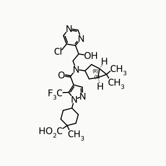 CC1(C(=O)O)CCC(n2ncc(C(=O)N(CC(O)c3ncncc3Cl)C3C[C@@H]4[C@H](C3)C4(C)C)c2C(F)(F)F)CC1